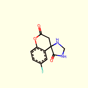 O=C1CC2(NCNC2=O)c2cc(F)ccc2O1